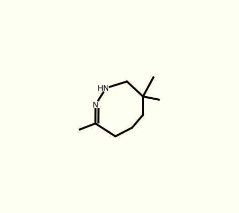 C/C1=N/NCC(C)(C)CCC1